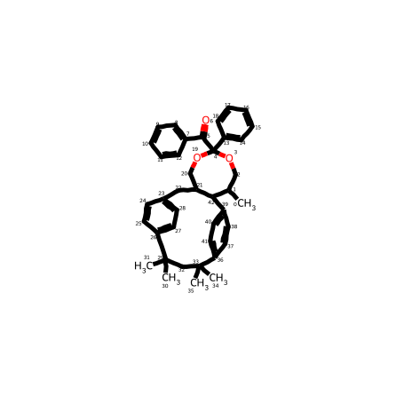 CC1COC(C(=O)c2ccccc2)(c2ccccc2)OCC2Cc3ccc(cc3)C(C)(C)CC(C)(C)c3ccc(cc3)C12